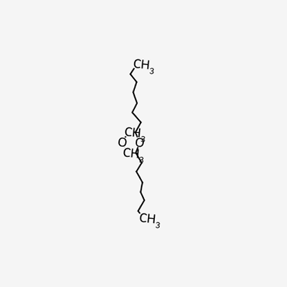 CCCCCCCCOCCCCCCCC.COC